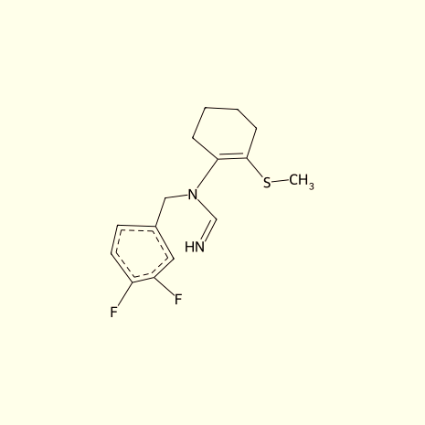 CSC1=C(N(C=N)Cc2ccc(F)c(F)c2)CCCC1